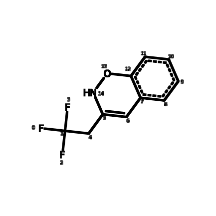 FC(F)(F)CC1=Cc2ccccc2ON1